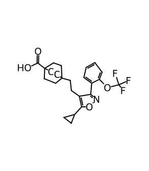 O=C(O)C12CCC(CCc3c(-c4ccccc4OC(F)(F)F)noc3C3CC3)(CC1)CC2